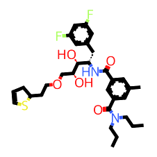 CCCN(CCC)C(=O)c1cc(C)cc(C(=O)N[C@@H](Cc2cc(F)cc(F)c2)[C@@H](O)[C@H](O)COCCC2CC=CS2)c1